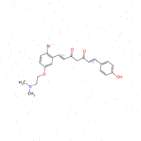 CN(C)CCOc1ccc(Br)c(/C=C/C(=O)CC(=O)/C=C/c2ccc(O)cc2)c1